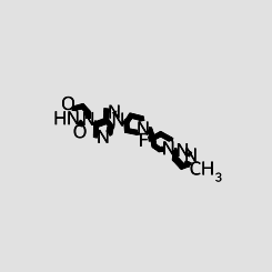 Cc1ccc(N2CCC(F)(CN3CCC(n4ncc5c(N6CCC(=O)NC6=O)cncc54)CC3)CC2)nn1